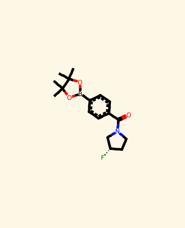 CC1(C)OB(c2ccc(C(=O)N3CC[C@H](F)C3)cc2)OC1(C)C